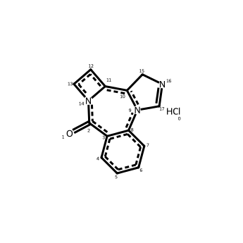 Cl.O=c1c2ccccc2n2c(c3ccn1-3)CN=C2